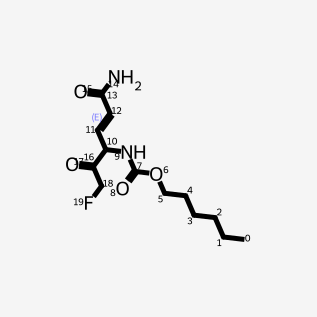 CCCCCCOC(=O)NC(/C=C/C(N)=O)C(=O)CF